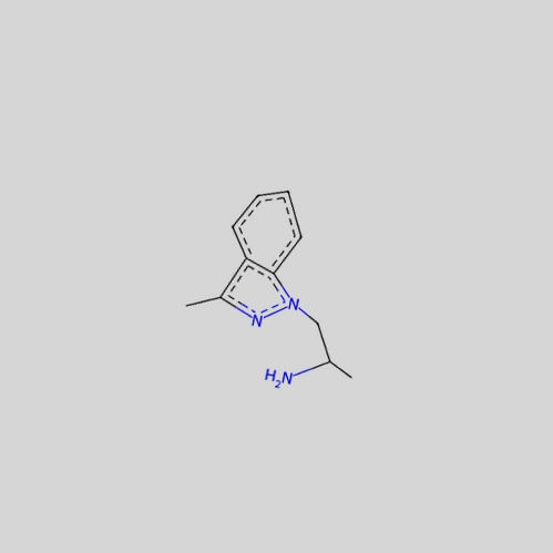 Cc1nn(CC(C)N)c2ccccc12